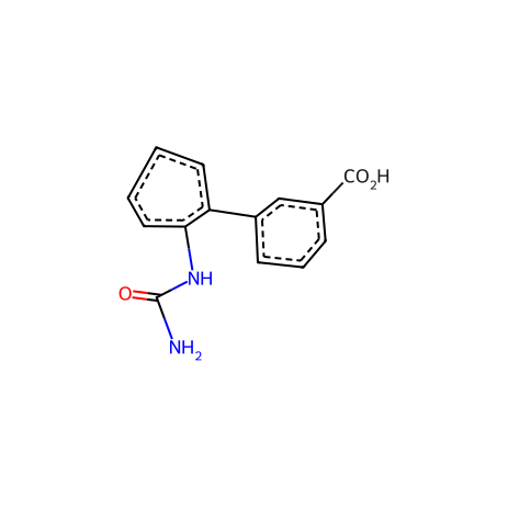 NC(=O)Nc1ccccc1-c1cccc(C(=O)O)c1